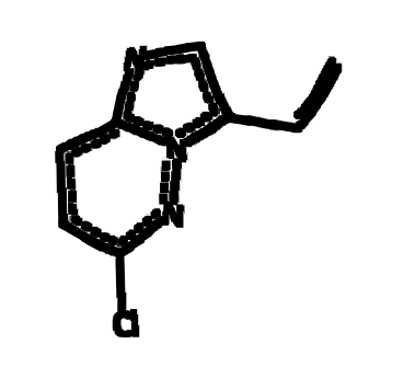 C=Cc1cnc2ccc(Cl)nn12